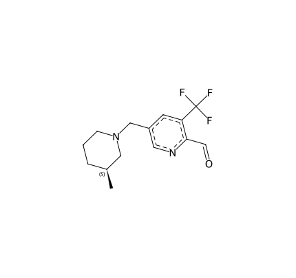 C[C@H]1CCCN(Cc2cnc(C=O)c(C(F)(F)F)c2)C1